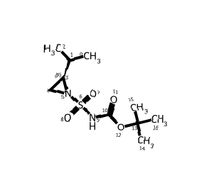 CC(C)[C@@H]1CN1S(=O)(=O)NC(=O)OC(C)(C)C